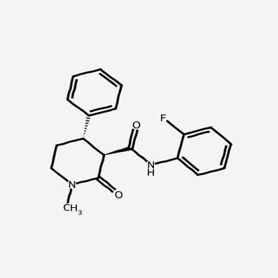 CN1CC[C@H](c2ccccc2)[C@@H](C(=O)Nc2ccccc2F)C1=O